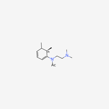 CC(=O)N(CCN(C)C)C1=CC=CC(C)[C@H]1C